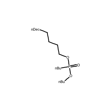 CCCCCCCCCCCCCCOP(=O)(CCCC)OCCCC